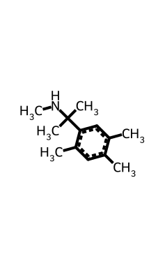 CNC(C)(C)c1cc(C)c(C)cc1C